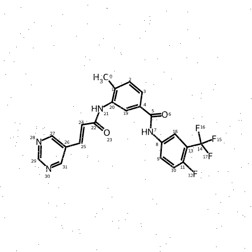 Cc1ccc(C(=O)Nc2ccc(F)c(C(F)(F)F)c2)cc1NC(=O)/C=C/c1cncnc1